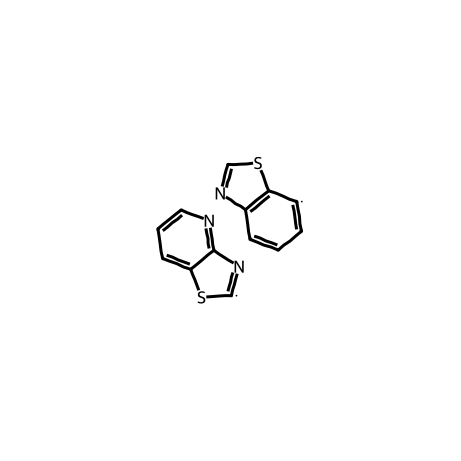 [c]1cccc2ncsc12.[c]1nc2ncccc2s1